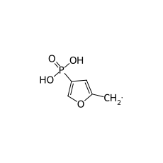 [CH2]c1cc(P(=O)(O)O)co1